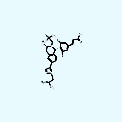 CC(C)Cn1cc(-c2ccc3c(c2)C[C@@H](C)N(CC(C)(C)F)[C@@H]3c2c(F)cc(/C=C/C(=O)O)cc2F)cn1